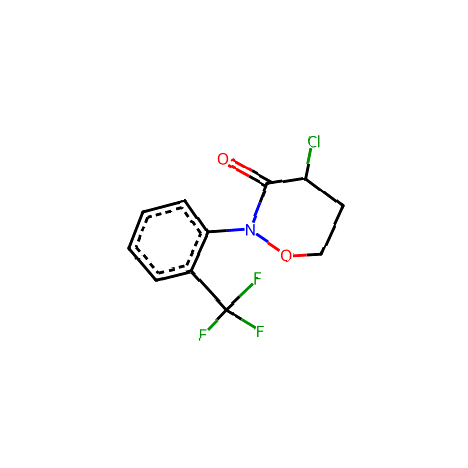 O=C1C(Cl)CCON1c1ccccc1C(F)(F)F